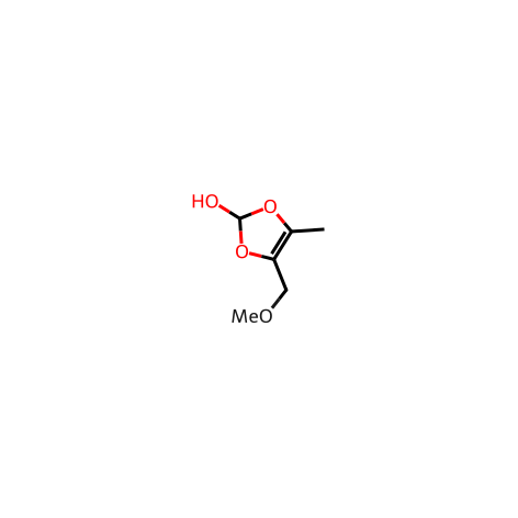 COCC1=C(C)OC(O)O1